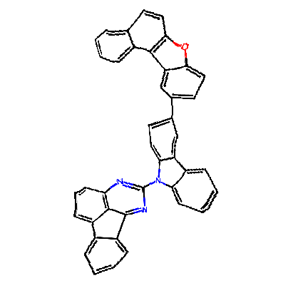 c1ccc2c(c1)-c1cccc3nc(-n4c5ccccc5c5cc(-c6ccc7oc8ccc9ccccc9c8c7c6)ccc54)nc-2c13